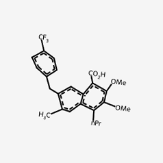 CCCc1c(OC)c(OC)c(C(=O)O)c2cc(Cc3ccc(C(F)(F)F)cc3)c(C)cc12